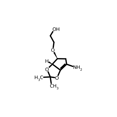 CC1(C)OC2=C(N)C[C@H](OCCO)[C@H]2O1